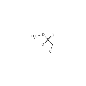 COS(=O)(=O)CCl